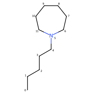 CCCCCN1CCCCCC1